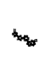 Clc1ccc2ncc(-c3nccc(N4CCC(c5cn[nH]c5)C4)n3)n2c1